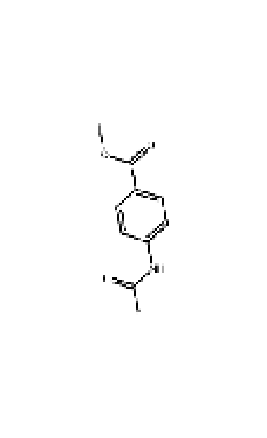 CC(=O)Nc1ccc(C(=O)OI)cc1